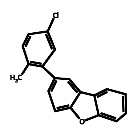 Cc1ccc(Cl)cc1-c1ccc2oc3ccccc3c2c1